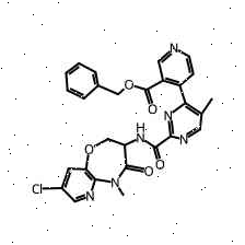 Cc1cnc(C(=O)NC2COc3cc(Cl)cnc3N(C)C2=O)nc1-c1ccncc1C(=O)OCc1ccccc1